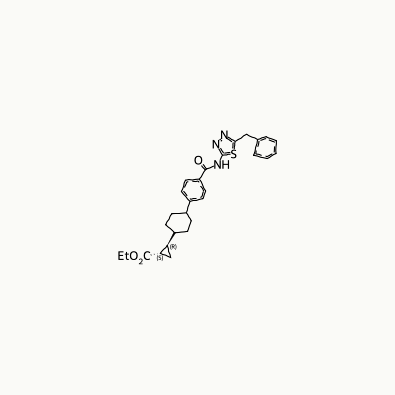 CCOC(=O)[C@H]1C[C@@H]1C1CCC(c2ccc(C(=O)Nc3nnc(Cc4ccccc4)s3)cc2)CC1